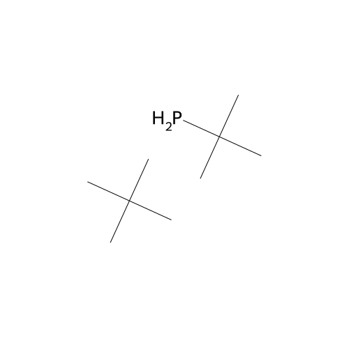 CC(C)(C)C.CC(C)(C)P